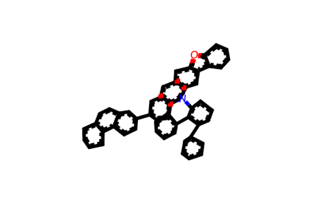 c1ccc(-c2ccccc2-c2c(-c3ccccc3)cccc2N(c2ccc(-c3ccc4c(ccc5ccccc54)c3)cc2)c2ccc3oc4ccccc4c3c2)cc1